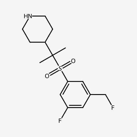 CC(C)(C1CCNCC1)S(=O)(=O)c1cc(F)cc(CF)c1